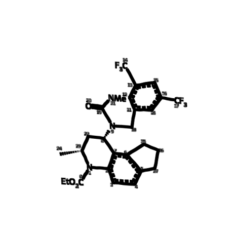 CCOC(=O)N1c2ccc3c(c2[C@@H](N(Cc2cc(C(F)(F)F)cc(C(F)(F)F)c2)C(=O)NC)C[C@H]1C)CCC3